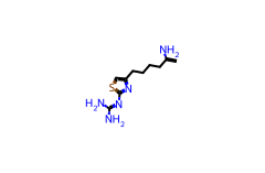 C=C(N)CCCCc1csc(N=C(N)N)n1